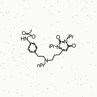 CCCN(CCCc1cc(=O)n(C(C)C)c(=O)n1C(C)C)CCc1ccc(NS(C)(=O)=O)cc1